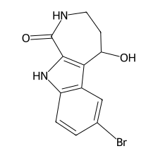 O=C1NCCC(O)c2c1[nH]c1ccc(Br)cc21